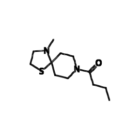 CCCC(=O)N1CCC2(CC1)SCCN2C